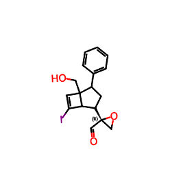 O=C[C@@]1(C2CC(c3ccccc3)C3(CO)C=C(I)C23)CO1